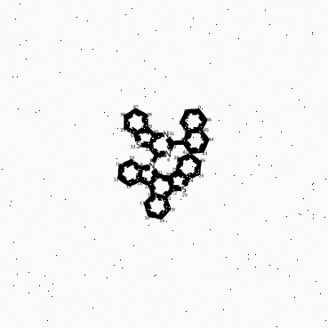 c1ccc2c(-c3nc(-n4c5ccccc5c5c6ccccc6c6sc7ccccc7c6c54)c4sc5ccccc5c4n3)cccc2c1